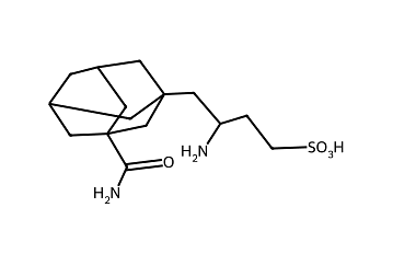 NC(=O)C12CC3CC(CC(CC(N)CCS(=O)(=O)O)(C3)C1)C2